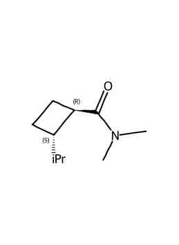 CC(C)[C@@H]1CC[C@H]1C(=O)N(C)C